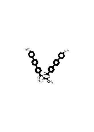 CCCC1CCC(c2ccc(-c3ccc(C(=O)OC(C)C(C)OC(=O)c4ccc(-c5ccc(C6CCC(CCC)CC6)cc5)cc4)cc3)cc2)CC1